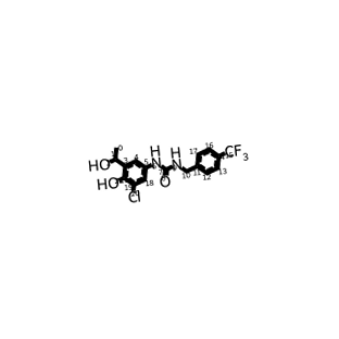 CC(O)c1cc(NC(=O)NCc2ccc(C(F)(F)F)cc2)cc(Cl)c1O